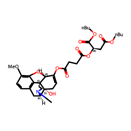 CCCCOC(=O)C[C@@H](OC(=O)CCC(=O)OC1=CC[C@@]2(O)[C@H]3Cc4ccc(OC)c5c4[C@@]2(CCN3C)[C@H]1O5)C(=O)OCCCC